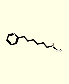 O=[C]NCCCCCCc1ccccn1